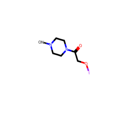 O=NN1CCN(C(=O)COI)CC1